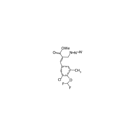 COC(=O)/C(=C/c1cc(C)c(OC(F)F)c(Cl)c1)CN=[N+]=[N-]